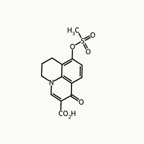 CS(=O)(=O)Oc1ccc2c(=O)c(C(=O)O)cn3c2c1CCC3